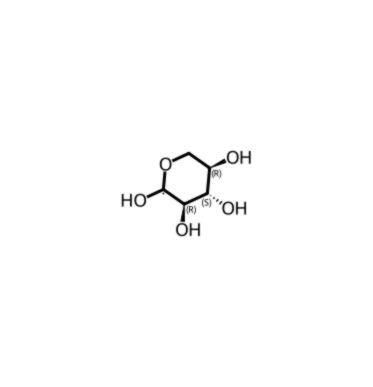 O[C]1OC[C@@H](O)[C@H](O)[C@H]1O